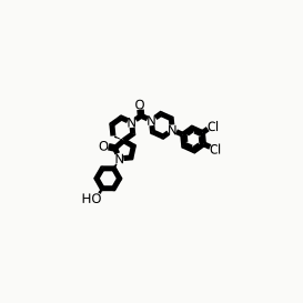 O=C(N1CCN(c2ccc(Cl)c(Cl)c2)CC1)N1CCC[C@@]2(CCN([C@H]3CC[C@H](O)CC3)C2=O)C1